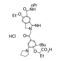 CCCNC(=O)c1cc2c(cc1OCC)CN(CC(=O)c1cc(N3CCCC3)c(OC(CC)C(=O)O)c(C(C)(C)C)c1)C2=N.Cl